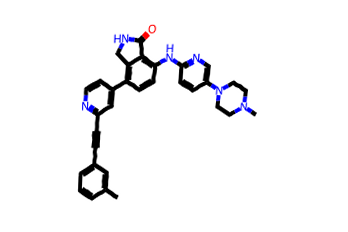 Cc1cccc(C#Cc2cc(-c3ccc(Nc4ccc(N5CCN(C)CC5)cn4)c4c3CNC4=O)ccn2)c1